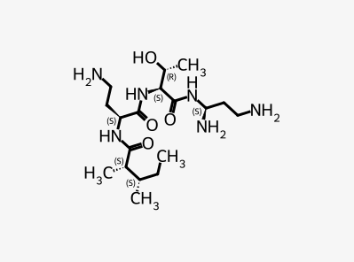 CC[C@H](C)[C@H](C)C(=O)N[C@@H](CCN)C(=O)N[C@H](C(=O)N[C@H](N)CCN)[C@@H](C)O